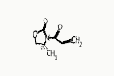 C=CC(=O)N1C(=O)OC[C@H]1C